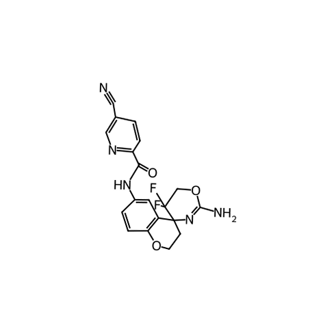 N#Cc1ccc(C(=O)Nc2ccc3c(c2)C2(CCO3)N=C(N)OCC2(F)F)nc1